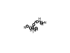 CN(C)c1cccc(-c2ccc3nc(-c4cccnc4N)n(-c4ccc(CN5CCC(Nc6ccnc(C#N)n6)CC5)cc4)c3n2)c1